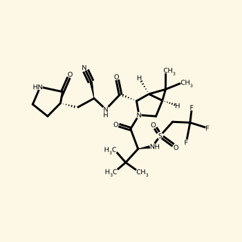 CC(C)(C)[C@H](NS(=O)(=O)CC(F)(F)F)C(=O)N1C[C@H]2[C@@H]([C@H]1C(=O)N[C@H](C#N)C[C@@H]1CCNC1=O)C2(C)C